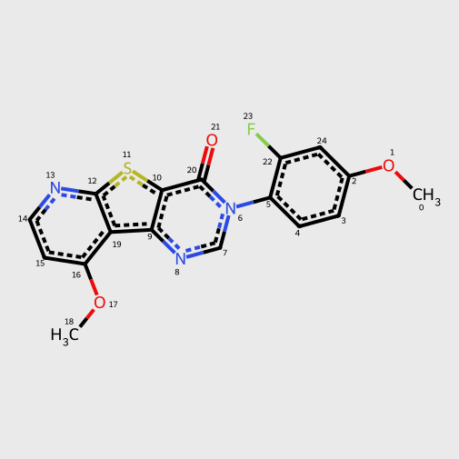 COc1ccc(-n2cnc3c(sc4nccc(OC)c43)c2=O)c(F)c1